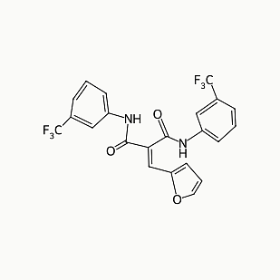 O=C(Nc1cccc(C(F)(F)F)c1)C(=Cc1ccco1)C(=O)Nc1cccc(C(F)(F)F)c1